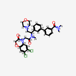 CN(C)C(=O)c1cccc(-c2cccc(C(CN3CCOCC3)N(C)C(=O)CN3C(=O)COc4cc(Cl)c(Cl)cc43)c2)c1